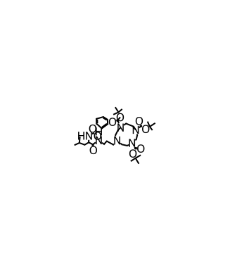 CC(C)CC(NC(=O)Oc1ccccc1)C(=O)NCCCN1CCN(C(=O)OC(C)(C)C)CCN(C(=O)OC(C)(C)C)CCN(C(=O)OC(C)(C)C)CC1